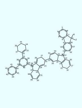 CC1(C)c2ccccc2-c2cc(N3C4=C(CCC=C4)C4C=C(C5C=C6C(=CC5)N(c5cc(C7=CCCCC7)cc(-c7ccccc7)c5)C5C=CC=CC65)C=CC43)ccc21